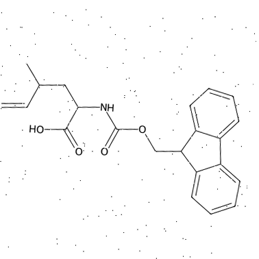 C=CC(C)CC(NC(=O)OCC1c2ccccc2-c2ccccc21)C(=O)O